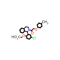 Cc1ccc(OCC(=O)N2CCc3ccccc3C2c2cc(Cl)ccc2OCC(=O)O)cc1